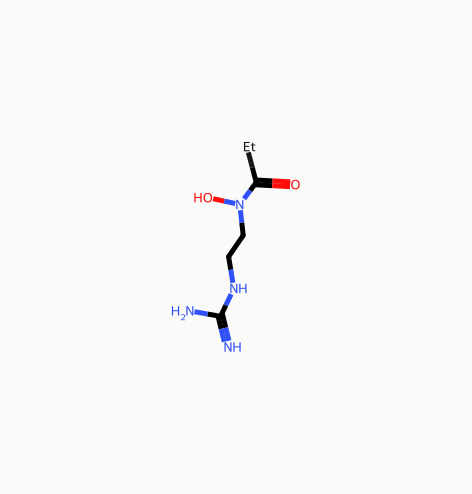 CCC(=O)N(O)CCNC(=N)N